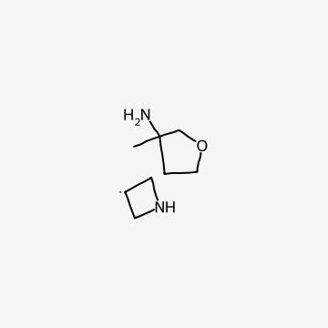 CC1(N)CCOC1.[CH]1CNC1